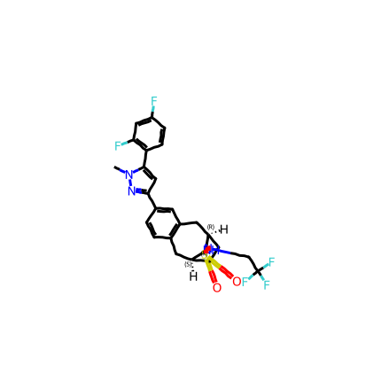 Cn1nc(-c2ccc3c(c2)C[C@H]2CC[C@@H](C3)[C@]23CN(CC(F)(F)F)S(=O)(=O)N3)cc1-c1ccc(F)cc1F